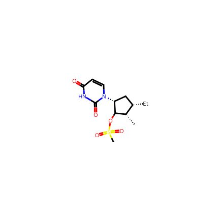 CC[C@H]1C[C@@H](n2ccc(=O)[nH]c2=O)C(OS(C)(=O)=O)[C@H]1C